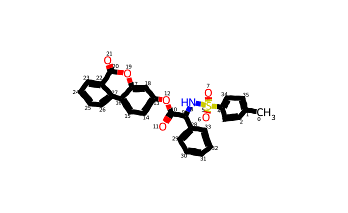 Cc1ccc(S(=O)(=O)NC(C(=O)Oc2ccc3c(c2)oc(=O)c2ccccc23)c2ccccc2)cc1